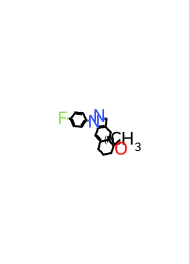 C[C@@]12Cc3cnn(-c4ccc(F)cc4)c3C=C1CCCC21CO1